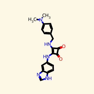 CN(C)c1ccc(CNc2c(Nc3ccc4[nH]cnc4c3)c(=O)c2=O)cc1